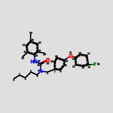 CCCCCN(Cc1ccc(Oc2ccc(F)cc2)cc1)C(=O)Nc1c(C)cc(C)cc1C